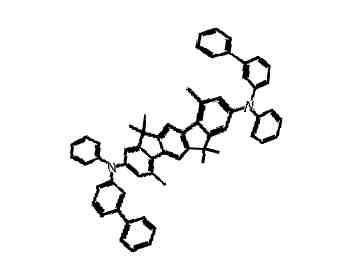 Cc1cc(N(c2ccccc2)c2cccc(-c3ccccc3)c2)cc2c1-c1cc3c(cc1C2(C)C)-c1c(C)cc(N(c2ccccc2)c2cccc(-c4ccccc4)c2)cc1C3(C)C